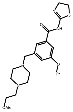 COCCN1CCN(Cc2cc(OC(C)C)cc(C(=O)NC3=NCCS3)c2)CC1